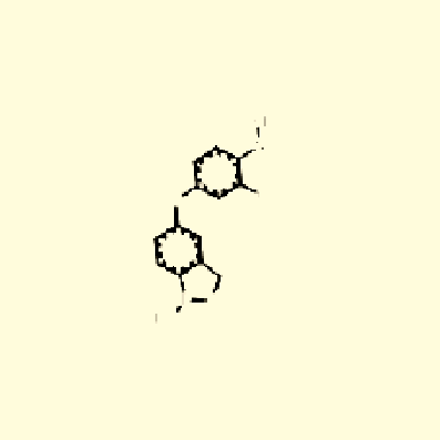 Cc1cc(Oc2ccc3c(c2)COB3O)ccc1NC=O